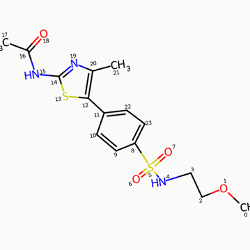 COCCNS(=O)(=O)c1ccc(-c2sc(NC(C)=O)nc2C)cc1